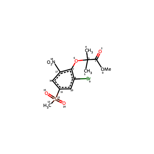 COC(=O)C(C)(C)Oc1c(Br)cc(S(C)(=O)=O)cc1[N+](=O)[O-]